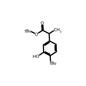 CC(C(=O)OC(C)(C)C)c1ccc(C(C)(C)C)c(O)c1